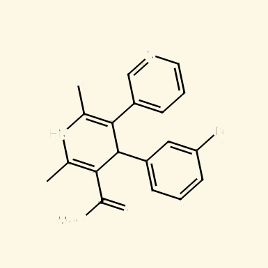 COC(=O)C1=C(C)NC(C)=C(c2cccnc2)C1c1cccc(Br)c1